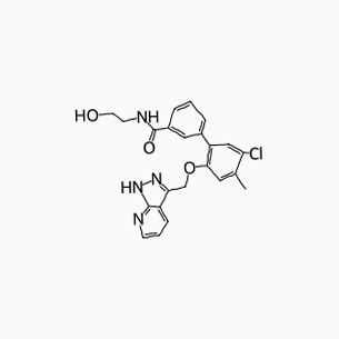 Cc1cc(OCc2n[nH]c3ncccc23)c(-c2cccc(C(=O)NCCO)c2)cc1Cl